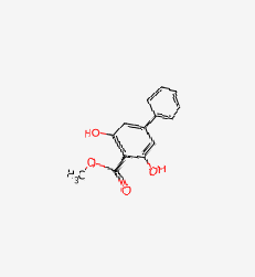 COC(=O)c1c(O)cc(-c2ccccc2)cc1O